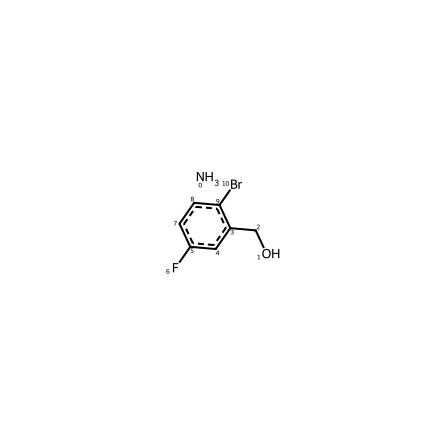 N.OCc1cc(F)ccc1Br